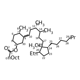 CCCCCCCCC(=O)O[C@H]1CC[C@@H](C)/C(=C\C[C@H](C)C(C)CC[C@@]2(C)C(CC)CC[C@@H]2CCCCC(C)C)C1